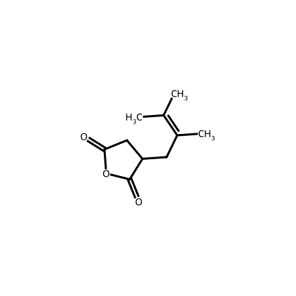 CC(C)=C(C)CC1CC(=O)OC1=O